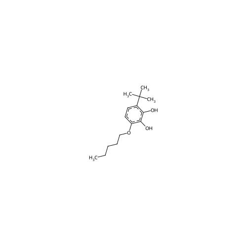 CCCCCOc1ccc(C(C)(C)C)c(O)c1O